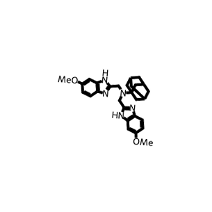 COc1ccc2nc(CN(Cc3nc4ccc(OC)cc4[nH]3)C34CC5CC(CC(C5)C3)C4)[nH]c2c1